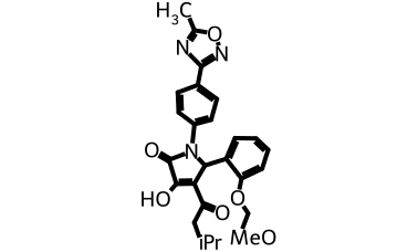 COCOc1ccccc1C1C(C(=O)CC(C)C)=C(O)C(=O)N1c1ccc(-c2noc(C)n2)cc1